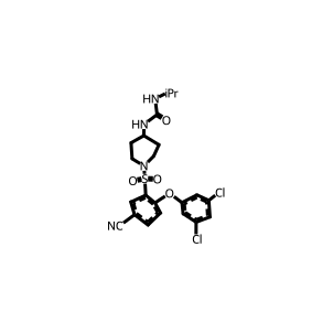 CC(C)NC(=O)NC1CCN(S(=O)(=O)c2cc(C#N)ccc2Oc2cc(Cl)cc(Cl)c2)CC1